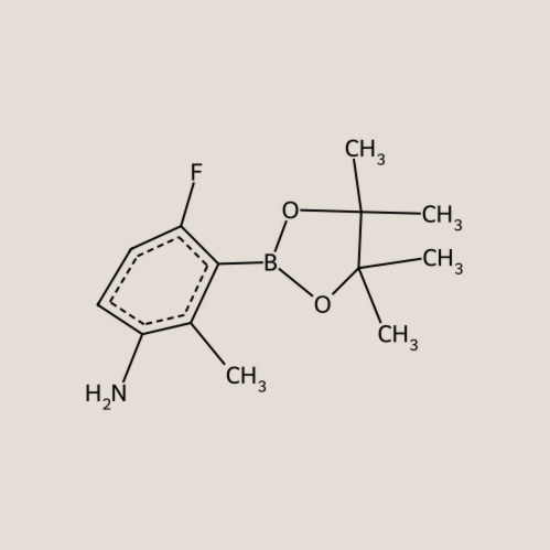 Cc1c(N)ccc(F)c1B1OC(C)(C)C(C)(C)O1